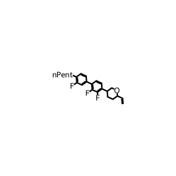 C=CC1CCC(c2ccc(-c3ccc(CCCCC)c(F)c3)c(F)c2F)CO1